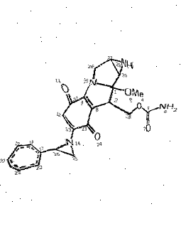 COC12C(COC(N)=O)C3=C(C(=O)C=C(N4CC4c4ccccc4)C3=O)N1CC1NC12